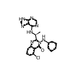 C[C@H](Nc1ncnc2[nH]cnc12)c1nc2cccc(Cl)c2c(=O)n1Nc1ccccc1